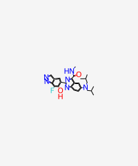 CNC(=O)c1nc(-c2cc3cn(C)nc3c(F)c2O)nc2ccc(N(CC(C)C)CC(C)C)cc12